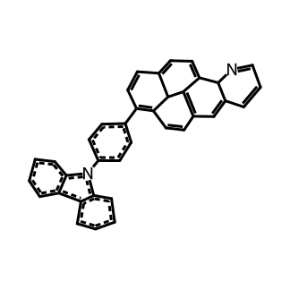 C1=CC2=CC3=C4C(=CC=C5C=CC(c6ccc(-n7c8ccccc8c8ccccc87)cc6)=C(C=C3)C54)C2N=C1